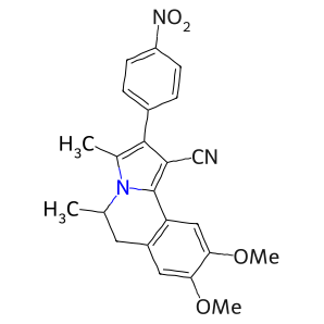 COc1cc2c(cc1OC)-c1c(C#N)c(-c3ccc([N+](=O)[O-])cc3)c(C)n1C(C)C2